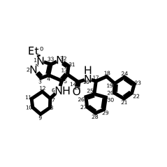 CCn1ncc2c(NC3CCCCC3)c(C(=O)NC(Cc3ccccc3)c3ccccc3)cnc21